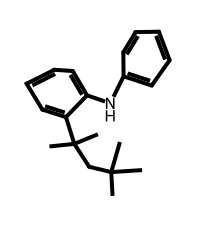 CC(C)(C)CC(C)(C)c1ccccc1Nc1ccccc1